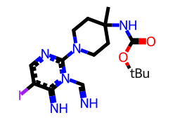 CC1(NC(=O)OC(C)(C)C)CCN(c2ncc(I)c(=N)n2C=N)CC1